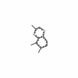 Cc1cnc2ccc(C)c(C)c2n1